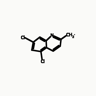 [CH2]c1ccc2c(Cl)cc(Cl)cc2n1